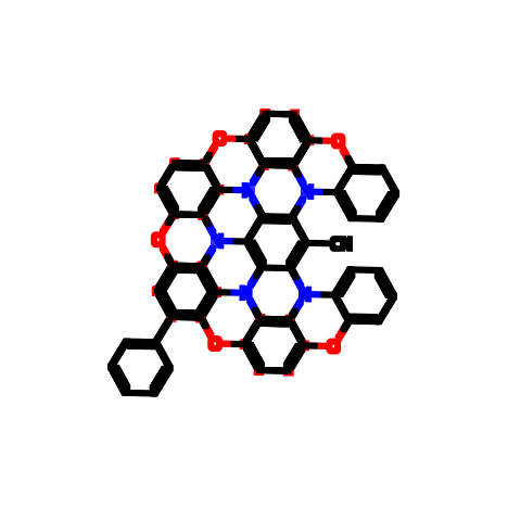 N#Cc1c(N2c3ccccc3Oc3ccccc32)c(N2c3ccccc3Oc3ccccc32)c(N2c3ccccc3Oc3cc(-c4ccccc4)ccc32)c(N2c3ccccc3Oc3ccccc32)c1N1c2ccccc2Oc2ccccc21